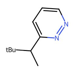 CC(c1cccnn1)C(C)(C)C